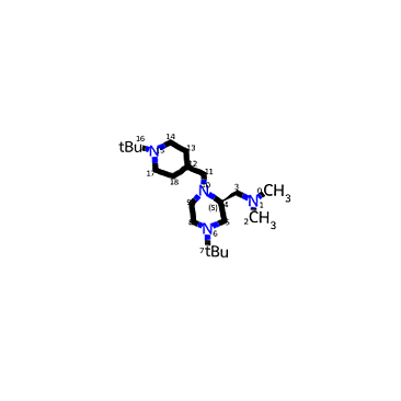 CN(C)C[C@H]1CN(C(C)(C)C)CCN1CC1CCN(C(C)(C)C)CC1